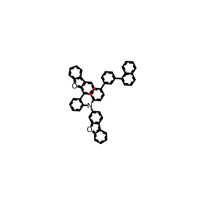 c1cc(-c2ccc(N(c3ccc4c(c3)oc3ccccc34)c3ccccc3-c3cccc4c3oc3ccccc34)cc2)cc(-c2cccc3ccccc23)c1